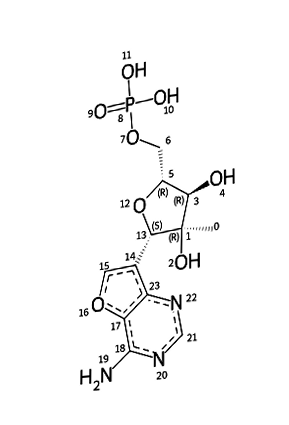 C[C@@]1(O)[C@H](O)[C@@H](COP(=O)(O)O)O[C@H]1c1coc2c(N)ncnc12